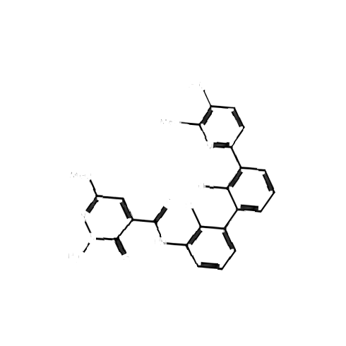 COc1cc(C(=O)Nc2cccc(-c3cccc(-c4ccc(C=O)c(OC)n4)c3Cl)c2Cl)c(=O)n(C)n1